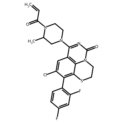 C=CC(=O)N1CCN(c2nc(=O)n3c4c(c(-c5ccc(F)cc5F)c(Cl)cc24)SCC3)CC1C